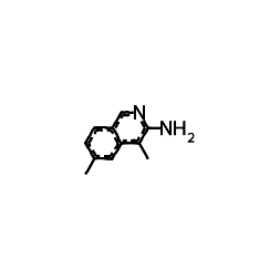 Cc1ccc2cnc(N)c(C)c2c1